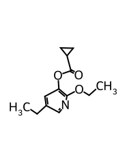 CCOc1ncc(CC)cc1OC(=O)C1CC1